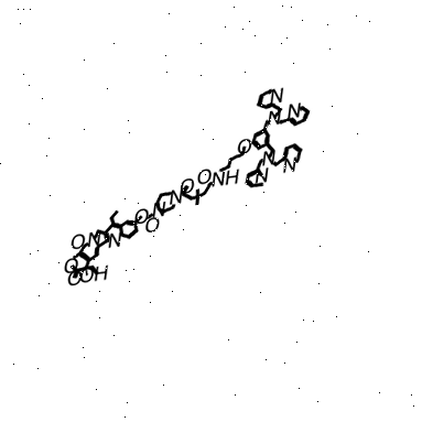 CCc1c2c(nc3ccc(OC(=O)N4CCCN(C(=O)CC(C)(C)CC(=O)NCCCCOc5cc(CN(Cc6ccccn6)Cc6ccccn6)cc(CN(Cc6ccccn6)Cc6ccccn6)c5)CC4)cc13)-c1cc3c(c(=O)n1C2)COC(=O)[C@@]3(O)CC